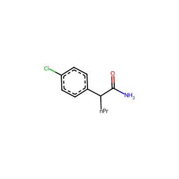 CCCC(C(N)=O)c1ccc(Cl)cc1